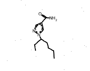 CCCCC(CC)n1cc(C(N)=O)cn1